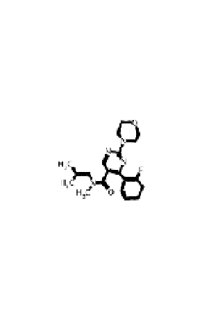 CC(C)CN(C)C(=O)c1cnc(N2CCOCC2)nc1C1=C(F)CCC=C1